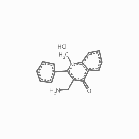 Cl.Cn1c(-c2ccccc2)c(CN)c(=O)c2ccccc21